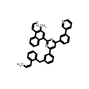 C/C=C\c1ccccc1Cc1cccc(-c2cc(-c3cccc(-c4cccnc4)c3)nc(-c3cc(C)c(/C=C\C)c4ccccc34)n2)c1